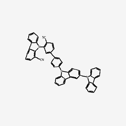 N#Cc1ccc(-c2ccc(-n3c4ccccc4c4cc(-n5c6ccccc6c6ccccc65)ccc43)cc2)cc1-n1c2ccccc2c2cccc(C#N)c21